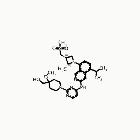 COC1(CO)CCN(c2nccc(Nc3cc4c(C(C)C)ccc(N5C[C@H](CS(C)(=O)=O)[C@H]5C)c4cn3)n2)CC1